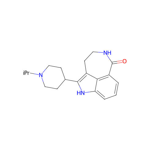 CC(C)N1CCC(c2[nH]c3cccc4c3c2CCNC4=O)CC1